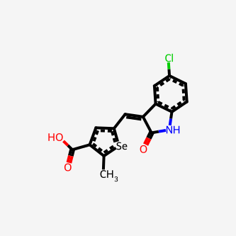 Cc1[se]c(C=C2C(=O)Nc3ccc(Cl)cc32)cc1C(=O)O